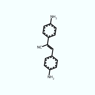 N#C/C(=C\c1ccc(N)cc1)c1ccc(N)cc1